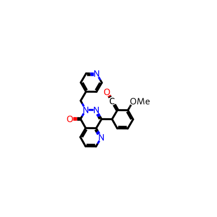 COC1=CC=CC(c2nn(Cc3ccncc3)c(=O)c3cccnc23)C1=C=O